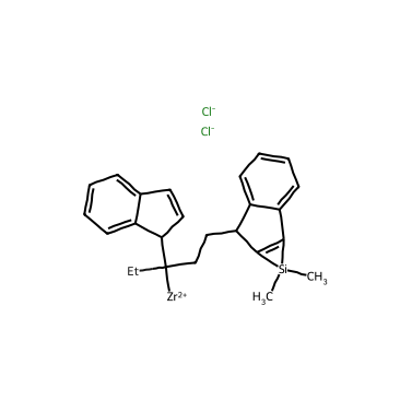 CC[C]([Zr+2])(CCC1C2=C(c3ccccc31)[Si]2(C)C)C1C=Cc2ccccc21.[Cl-].[Cl-]